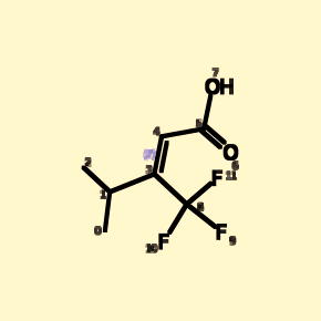 CC(C)/C(=C/C(=O)O)C(F)(F)F